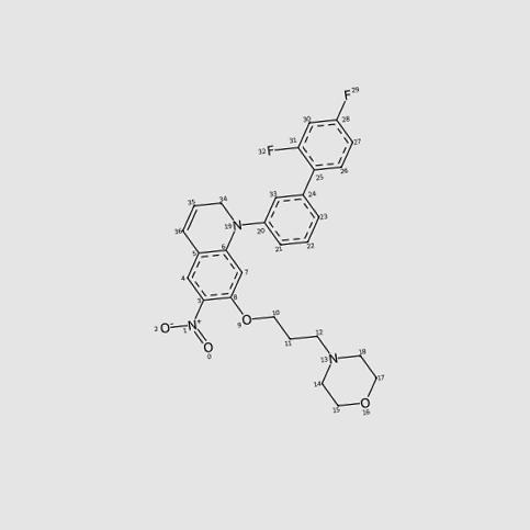 O=[N+]([O-])c1cc2c(cc1OCCCN1CCOCC1)N(c1cccc(-c3ccc(F)cc3F)c1)CC=C2